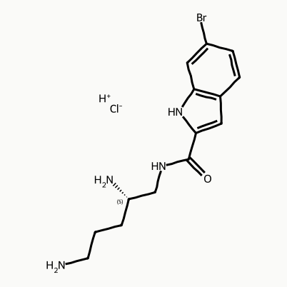 NCCC[C@H](N)CNC(=O)c1cc2ccc(Br)cc2[nH]1.[Cl-].[H+]